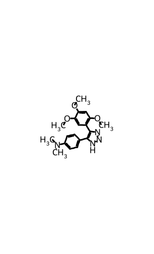 COc1cc(OC)c(-c2nn[nH]c2-c2ccc(N(C)C)cc2)cc1OC